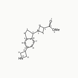 COC(=O)C1CN(C2CCc3cc(C4CNC4)ccc32)C1